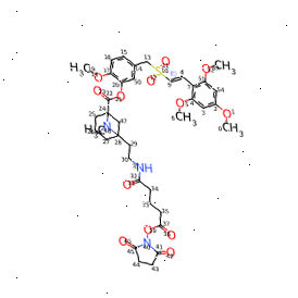 COc1cc(OC)c(/C=C/S(=O)(=O)Cc2ccc(OC)c(OC(=O)C34CCCC(CCNC(=O)CCCC(=O)ON5C(=O)CCC5=O)(C3)N4C)c2)c(OC)c1